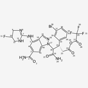 NC(=O)c1cc(NC2=NCC(F)CN2)c2cnn(C(C(N)=O)[C@@H](CC(=O)OC(=O)C(F)(F)F)c3cccc(Br)c3)c2c1